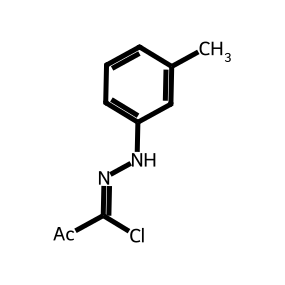 CC(=O)C(Cl)=NNc1cccc(C)c1